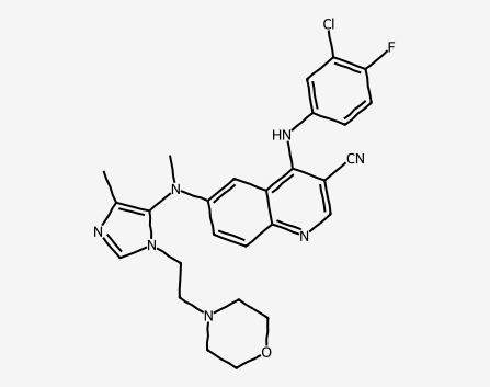 Cc1ncn(CCN2CCOCC2)c1N(C)c1ccc2ncc(C#N)c(Nc3ccc(F)c(Cl)c3)c2c1